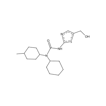 CC1CCC(N(C(=O)Nc2ncc(CO)s2)C2CCCCC2)CC1